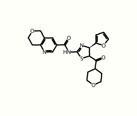 O=C(NC1=N[C@@H](c2ccco2)C(C(=O)C2CCOCC2)S1)c1cnc2c(c1)COCC2